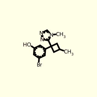 CC1CC(c2cc(O)cc(Br)c2)(c2nncn2C)C1